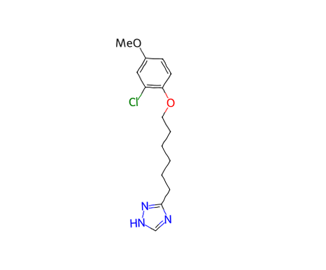 COc1ccc(OCCCCCCc2nc[nH]n2)c(Cl)c1